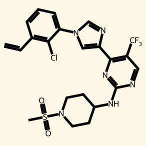 C=Cc1cccc(-n2cnc(-c3nc(NC4CCN(S(C)(=O)=O)CC4)ncc3C(F)(F)F)c2)c1Cl